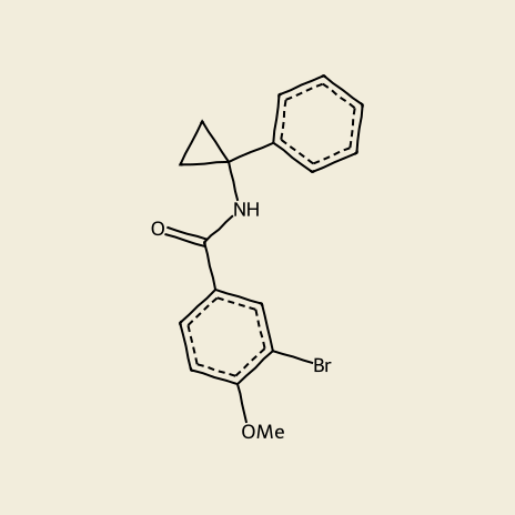 COc1ccc(C(=O)NC2(c3ccccc3)CC2)cc1Br